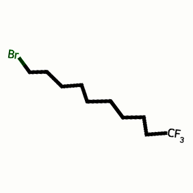 FC(F)(F)CCCCCCCCCBr